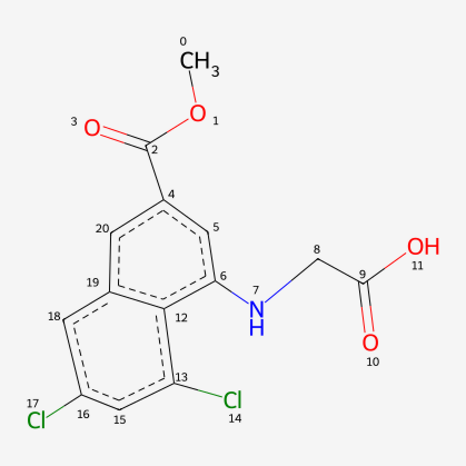 COC(=O)c1cc(NCC(=O)O)c2c(Cl)cc(Cl)cc2c1